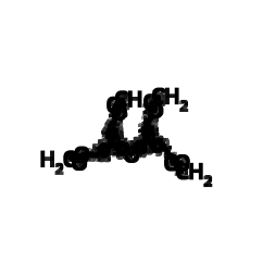 C=CC(=O)OCCCc1ccc(N(c2ccc(CCCOC(=O)C=C)cc2)c2ccc(Oc3ccc(N(c4ccc(CCCOC(=O)C=C)cc4)c4ccc(CCCOC(=O)C=C)cc4)cc3)cc2)cc1